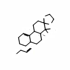 CC1(C)[C@@H]2CC[C@@]3(/C=C\CCl)CCCC=C3[C@@]2(C)CCC12OCCO2